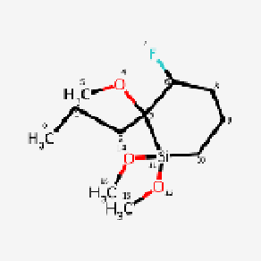 CCCC1(OC)C(F)CCC[Si]1(OC)OC